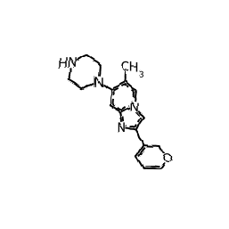 Cc1cn2cc(C3=CC=COC3)nc2cc1N1CCNCC1